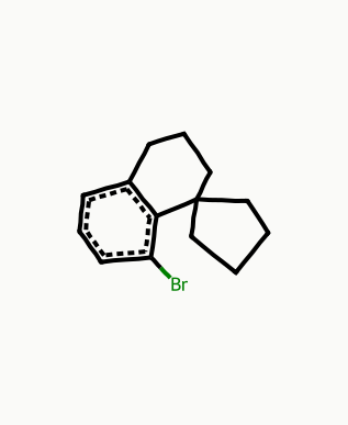 Brc1cccc2c1C1(CCCC1)CCC2